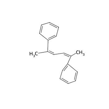 C/C(=C/C=C(/C)c1ccccc1)c1ccccc1